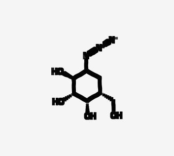 [N-]=[N+]=NC1C[C@H](CO)[C@H](O)[C@H](O)[C@H]1O